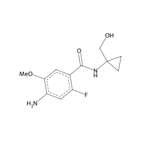 COc1cc(C(=O)NC2(CO)CC2)c(F)cc1N